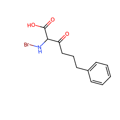 O=C(O)C(NBr)C(=O)CCCc1ccccc1